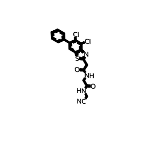 N#CCNC(=O)CNC(=O)Cc1nc2c(Cl)c(Cl)c(-c3ccccc3)cc2s1